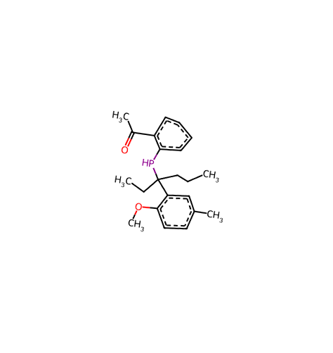 CCCC(CC)(Pc1ccccc1C(C)=O)c1cc(C)ccc1OC